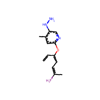 C=C/C(=C\C=C(/C)P)Oc1cc(C)c(NN)cn1